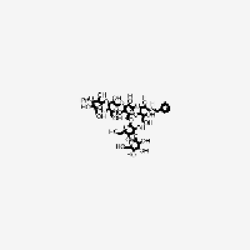 CC(C)OC1C(O)C(CO)OC(OC2C(O)C(CO)OC(OC3C(O)C(COC4OC(CO)C(O)C(OC5OC(CO)C(O)C(O)C5O)C4O)OC(OC(C(O)CNCc4ccccc4)C(O)C(O)CO)C3O)C2O)C1O